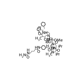 CC[C@H](C)[C@@H]([C@@H](CC(=O)N1CCC[C@H]1[C@H](OC)[C@@H](C)C(=O)N[C@@H](Cc1ccccc1)c1nccs1)OC)N(C)C(=O)[C@@H](NC(=O)[C@H](C(C)C)N(C)C(=O)OCc1ccc(NC(=O)CCCCNC(N)=O)cc1)C(C)C